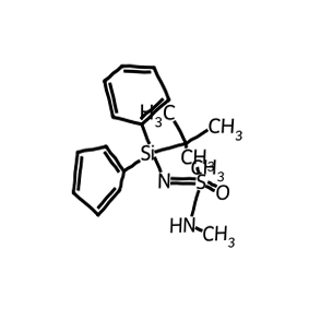 CNS(C)(=O)=N[Si](c1ccccc1)(c1ccccc1)C(C)(C)C